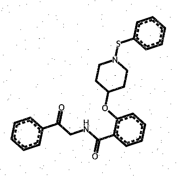 O=C(CNC(=O)c1ccccc1OC1CCN(Sc2ccccc2)CC1)c1ccccc1